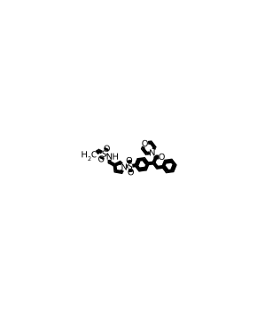 C=CS(=O)(=O)NCC1CCN(S(=O)(=O)c2ccc(C(Cc3ccccc3)C(=O)N3CCOCC3)cc2)C1